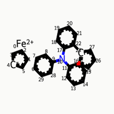 [Fe+2].c1cc[cH-]c1.c1ccc(N(c2ccccc2)c2ccccc2-[c-]2cccc2)cc1